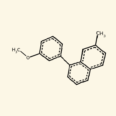 COc1cccc(-c2cccc3ccc(C)cc23)c1